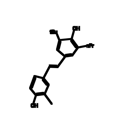 CCCc1cc(C=Cc2ccc(O)c(C)c2)cc(C(C)(C)C)c1O